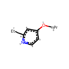 CCCOc1ccnc(CC)c1